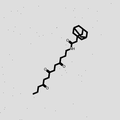 CCCC(=O)CCC(=O)CCC(=O)CCCNC(=O)CC12CC3CC(CC(C3)C1)C2